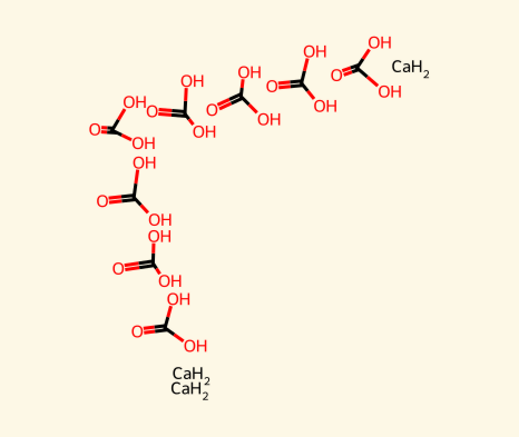 O=C(O)O.O=C(O)O.O=C(O)O.O=C(O)O.O=C(O)O.O=C(O)O.O=C(O)O.O=C(O)O.[CaH2].[CaH2].[CaH2]